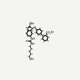 CCCCc1nc2ccc(NC(=O)NCCCCCO)cc2n1Cc1ccc(-c2ccccc2C(=O)OCC)cc1